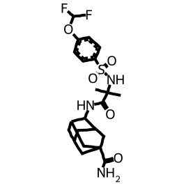 CC(C)(NS(=O)(=O)c1ccc(OC(F)F)cc1)C(=O)NC1C2CC3CC1CC(C(N)=O)(C3)C2